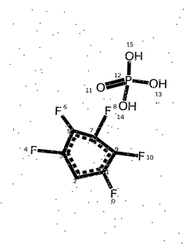 Fc1cc(F)c(F)c(F)c1F.O=P(O)(O)O